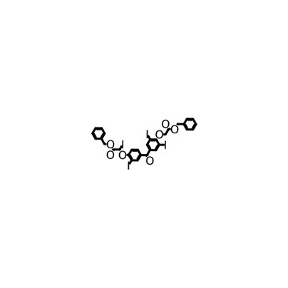 O=C(COc1c(I)cc(C(=O)c2ccc(OC(I)C(=O)OCc3ccccc3)c(I)c2)cc1I)OCc1ccccc1